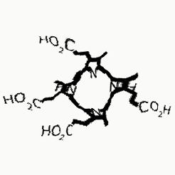 CC1=C(CCC(=O)O)c2cc3[nH]c(cc4nc(cc5[nH]c(cc1n2)c(C)c5CCC(=O)O)C(C)=C4CCC(=O)O)c(CCC(=O)O)c3C